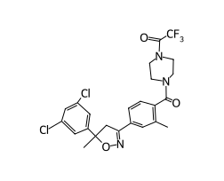 Cc1cc(C2=NOC(C)(c3cc(Cl)cc(Cl)c3)C2)ccc1C(=O)N1CCN(C(=O)C(F)(F)F)CC1